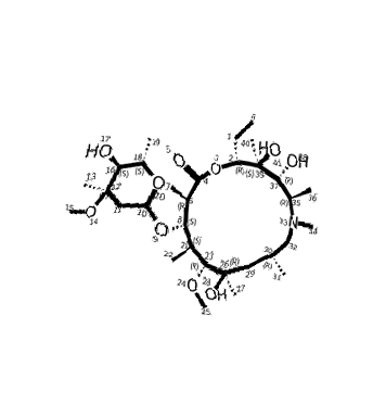 CC[C@H]1OC(=O)[C@H](C)[C@@H](OC2C[C@@](C)(OC)[C@@H](O)[C@H](C)O2)[C@H](C)[C@@H](OC)[C@](C)(O)C[C@@H](C)CN(C)[C@H](C)[C@@H](O)[C@]1(C)O